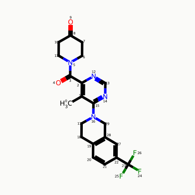 Cc1c(C(=O)N2CCC(=O)CC2)ncnc1N1CCc2ccc(C(F)(F)F)cc2C1